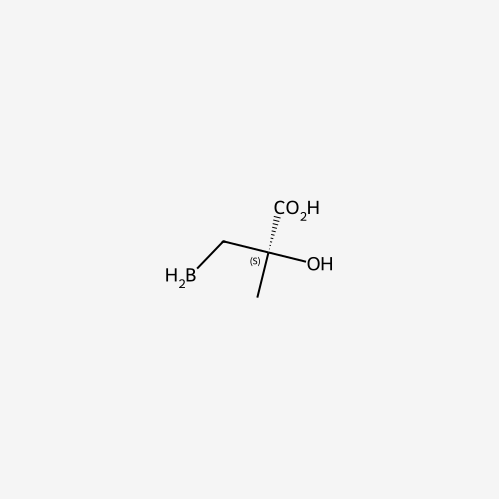 BC[C@](C)(O)C(=O)O